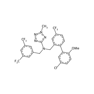 COc1ccc(Cl)cc1-c1ccc(C(F)(F)F)cc1CN(Cc1cc(C(F)(F)F)cc(C(F)(F)F)c1)c1nnn(C)n1